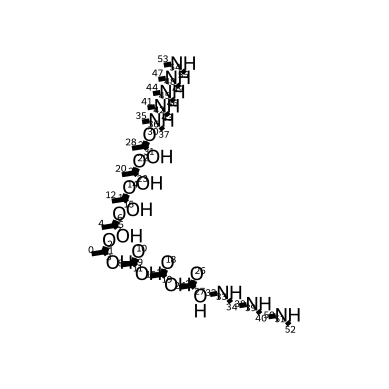 CC(=O)O.CC(=O)O.CC(=O)O.CC(=O)O.CC(=O)O.CC(=O)O.CC(=O)O.CC(=O)O.CNC.CNC.CNC.CNC.CNC.CNC.CNC.CNC